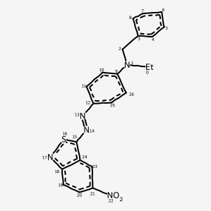 CCN(Cc1ccccc1)c1ccc(N=Nc2snc3ccc([N+](=O)[O-])cc23)cc1